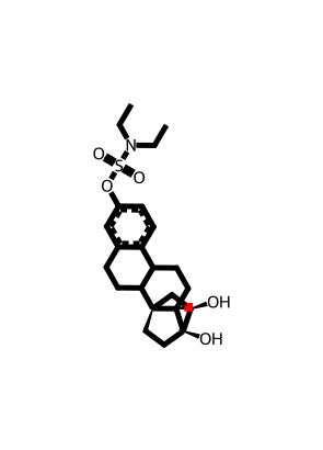 CCN(CC)S(=O)(=O)Oc1ccc2c(c1)CCC1C2CC[C@@]2(C)[C@]13CC[C@@]2(O)[C@H](O)C3